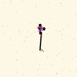 CCCCCCCCCCCCCCCCOc1ccc(C(=O)Nc2cc(=O)n(-c3ccccc3)n2C(=O)Oc2ccccc2)cc1